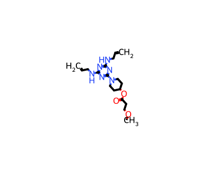 C=CCNc1nc(NCC=C)nc(N2CCC(OC(=O)CCOC)CC2)n1